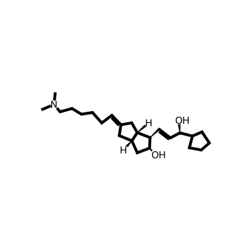 CN(C)CCCCC/C=C1\C[C@H]2C[C@@H](O)[C@H](/C=C/[C@@H](O)C3CCCC3)[C@H]2C1